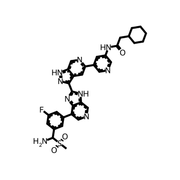 CS(=O)(=O)C(N)c1cc(F)cc(-c2cncc3[nH]c(-c4n[nH]c5cnc(-c6cncc(NC(=O)CC7CCCCC7)c6)cc45)nc23)c1